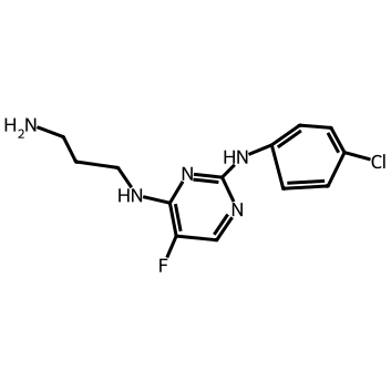 NCCCNc1nc(Nc2ccc(Cl)cc2)ncc1F